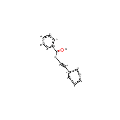 O=C(CC#Cc1ccccc1)c1ccccc1